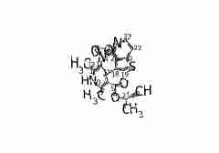 C#CC(C)OC(=O)C1=C(C)NC(C)=C([N+](=O)[O-])C1c1csc2ccncc12